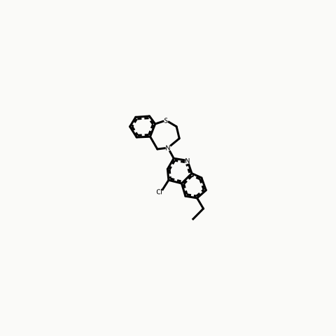 CCc1ccc2nc(N3CCSc4ccccc4C3)cc(Cl)c2c1